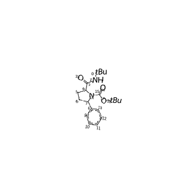 CC(C)(C)NC(=O)C1CCC(c2ccccc2)N1C(=O)OC(C)(C)C